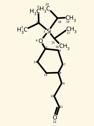 CC(C)[Si](OC1CCC(CCC=O)CC1)(C(C)C)C(C)C